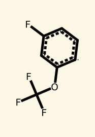 Fc1cc[c]c(OC(F)(F)F)c1